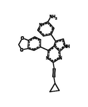 Nc1cc(-c2c[nH]c3nc(C#CC4CC4)nc(-c4ccc5c(c4)OCO5)c23)ccn1